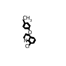 CCc1ccc(Oc2ccnc3c(Cl)cccc23)cc1